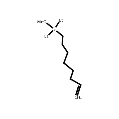 C=CCCCCCC[Si](CC)(CC)OC